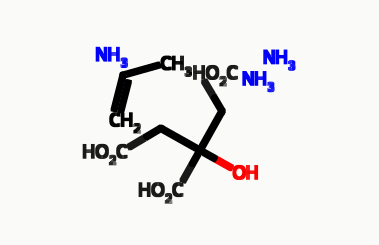 C=CC.N.N.N.O=C(O)CC(O)(CC(=O)O)C(=O)O